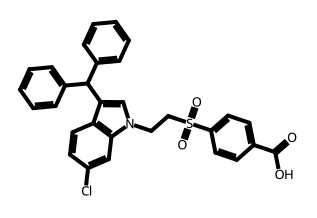 O=C(O)c1ccc(S(=O)(=O)CCn2cc(C(c3ccccc3)c3ccccc3)c3ccc(Cl)cc32)cc1